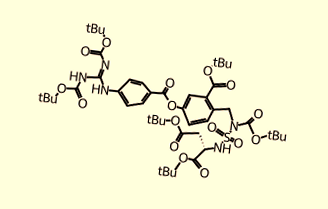 CC(C)(C)OC(=O)C[C@H](NS(=O)(=O)N(Cc1ccc(OC(=O)c2ccc(NC(=NC(=O)OC(C)(C)C)NC(=O)OC(C)(C)C)cc2)cc1C(=O)OC(C)(C)C)C(=O)OC(C)(C)C)C(=O)OC(C)(C)C